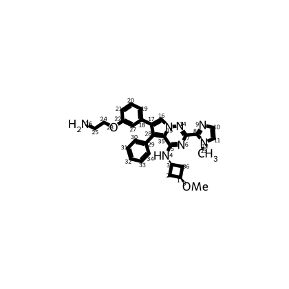 CO[C@H]1C[C@H](Nc2nc(-c3nccn3C)nn3cc(-c4cccc(OCCN)c4)c(-c4ccccc4)c23)C1